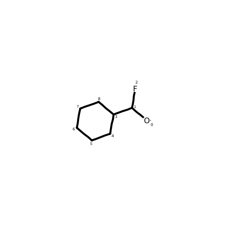 [O]C(F)C1CCCCC1